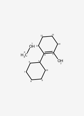 CO.OC1=C(C2CCCCC2)CCCC1